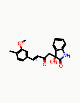 COc1cc(/C=C/C(=O)CC2(O)C(=O)Nc3ccccc32)ccc1C